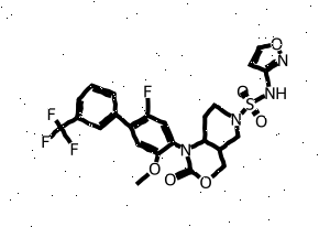 COc1cc(-c2cccc(C(F)(F)F)c2)c(F)cc1N1C(=O)OCC2CN(S(=O)(=O)Nc3ccon3)CCC21